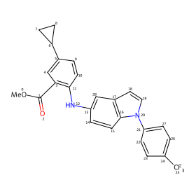 COC(=O)c1cc(C2CC2)ccc1Nc1ccc2c(ccn2-c2ccc(C(F)(F)F)cc2)c1